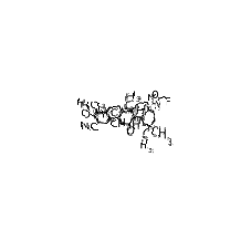 C[C@@H]1C(O)=C(C#N)C[C@]2(C)C3=CC(=O)[C@@H]4[C@@H]5CC(C)(C)CC[C@]5(c5noc(CF)n5)CC[C@@]4(C)[C@]3(C)CC[C@@H]12